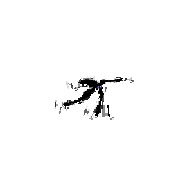 C=CC(=O)OCCCCCCOc1ccc(C(=O)Oc2cc(/C=N/Nc3ccc4cc(OC(=O)C(=C)C)ccc4c3)c(OC(=O)c3ccc(OCCCCCCOC(=O)C=C)cc3)c3ccc(OC(=O)C(=C)C)cc23)cc1